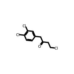 O=C(CCCl)Cc1ccc(Cl)c(Cl)c1